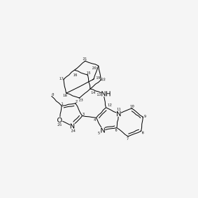 Cc1cc(-c2nc3ccccn3c2NC23CC4CC(CC(C4)C2)C3)no1